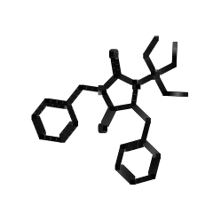 CC[Si](CC)(CC)N1C(=O)N(Cc2ccccc2)C(=O)C1Cc1ccccc1